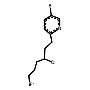 CC(C)CCCC(O)CCc1ccc(Br)cn1